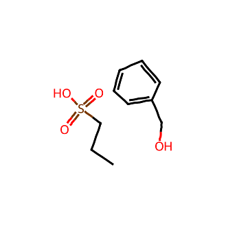 CCCS(=O)(=O)O.OCc1ccccc1